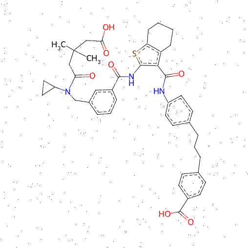 CC(C)(CC(=O)O)CC(=O)N(Cc1cccc(C(=O)Nc2sc3c(c2C(=O)Nc2ccc(CCCc4ccc(C(=O)O)cc4)cc2)CCCC3)c1)C1CC1